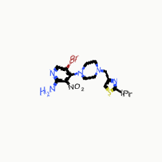 CC(C)c1nc(CN2CCN(c3c(Br)cnc(N)c3[N+](=O)[O-])CC2)cs1